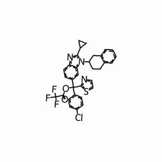 O=C(OC(c1ccc(Cl)cc1)(c1ccc2nc(C3CC3)n(C3CCc4ccccc4C3)c2c1)c1nccs1)C(F)(F)F